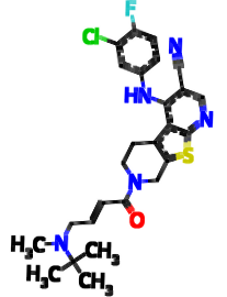 CN(CC=CC(=O)N1CCc2c(sc3ncc(C#N)c(Nc4ccc(F)c(Cl)c4)c23)C1)C(C)(C)C